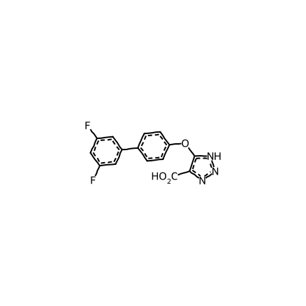 O=C(O)c1nn[nH]c1Oc1ccc(-c2cc(F)cc(F)c2)cc1